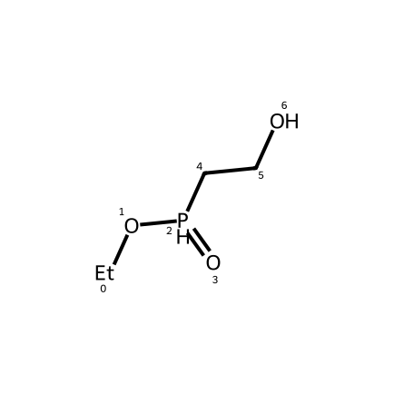 CCO[PH](=O)CCO